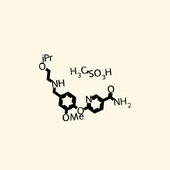 COc1cc(CNCCOC(C)C)ccc1Oc1ccc(C(N)=O)cn1.CS(=O)(=O)O